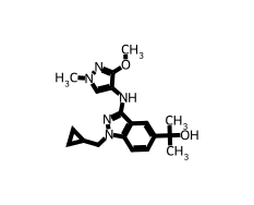 COc1nn(C)cc1Nc1nn(CC2CC2)c2ccc(C(C)(C)O)cc12